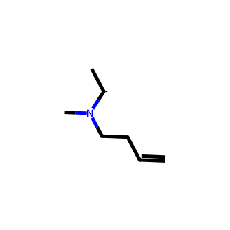 C=CCCN(C)[CH]C